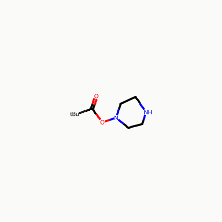 CC(C)(C)C(=O)ON1CCNCC1